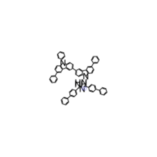 N=C(/N=C(\NCn1c2ccc(-c3ccccc3)cc2c2cc(-c3ccc4c(c3)c3cc(-c5ccccc5)ccc3n4-c3ccccc3)ccc21)c1ccc(-c2ccccc2)cc1)c1ccc(-c2ccccc2)cc1